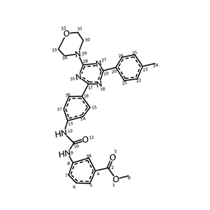 COC(=O)c1cccc(NC(=O)Nc2ccc(-c3nc(-c4ccc(C)cc4)nc(N4CCOCC4)n3)cc2)c1